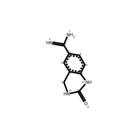 N=C(N)c1ccc2c(c1)CNC(=O)N2